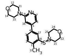 Cc1ccc(-c2ccnc(N3CCOCC3)c2)cc1SN1CCOCC1